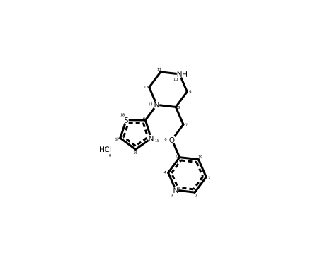 Cl.c1cncc(OCC2CNCCN2c2nccs2)c1